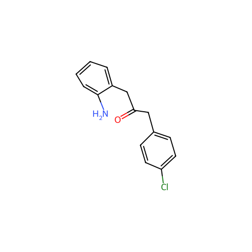 Nc1ccccc1CC(=O)Cc1ccc(Cl)cc1